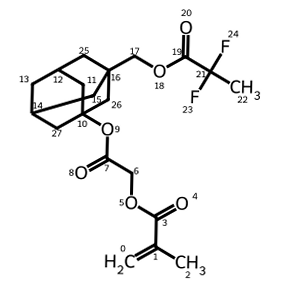 C=C(C)C(=O)OCC(=O)OC12CC3CC(CC(COC(=O)C(C)(F)F)(C3)C1)C2